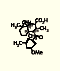 COc1cc(C)cc(C(=O)[C@H]2[C@H](C)C(C(=O)O)C[C@@]3(C)C(C)(C)CCC[C@]23C)c1